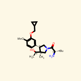 COc1ccc([C@@H]2CN(C(=O)[C@@H](N)C(C)(C)C)C[C@@]2(C)[C@@H](C)O)cc1OCC1CC1